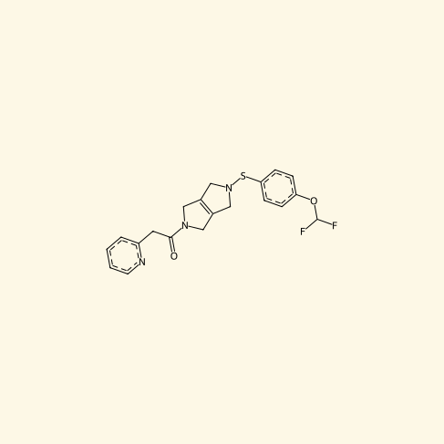 O=C(Cc1ccccn1)N1CC2=C(CN(Sc3ccc(OC(F)F)cc3)C2)C1